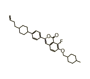 C=CCCC1CCC(c2ccc(-c3cc4ccc(OCC5CCC(C)CC5)c(F)c4c(=O)o3)cc2)CC1